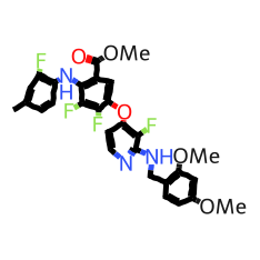 COC(=O)c1cc(Oc2ccnc(NCc3ccc(OC)cc3OC)c2F)c(F)c(F)c1Nc1ccc(C)cc1F